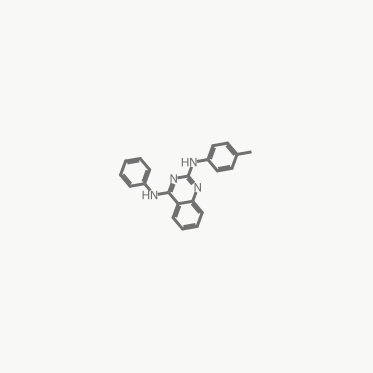 Cc1ccc(Nc2nc(Nc3ccccc3)c3ccccc3n2)cc1